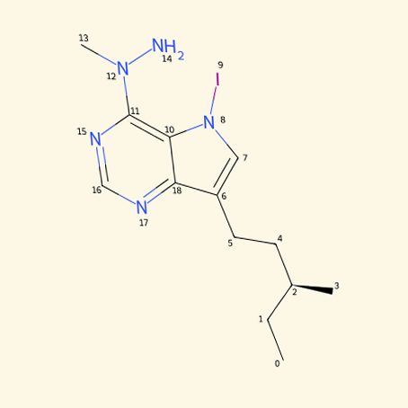 CC[C@H](C)CCc1cn(I)c2c(N(C)N)ncnc12